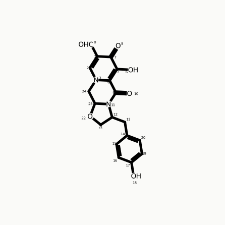 O=Cc1cn2c(c(O)c1=O)C(=O)N1C(Cc3ccc(O)cc3)COC1C2